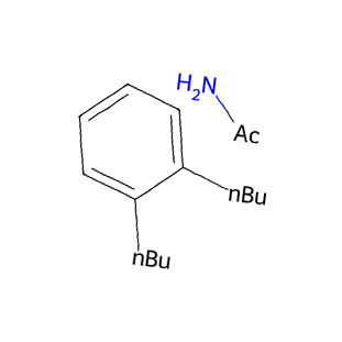 CC(N)=O.CCCCc1ccccc1CCCC